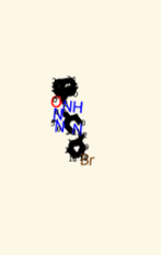 O=C(Nc1ncnc2c1CCN(Cc1cccc(Br)c1)C2)C12CC3CC(CC(C3)C1)C2